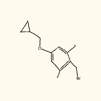 Fc1cc(OCC2CC2)cc(F)c1CBr